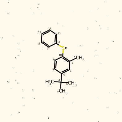 Cc1cc(C(C)(C)C)ccc1Sc1ccccc1